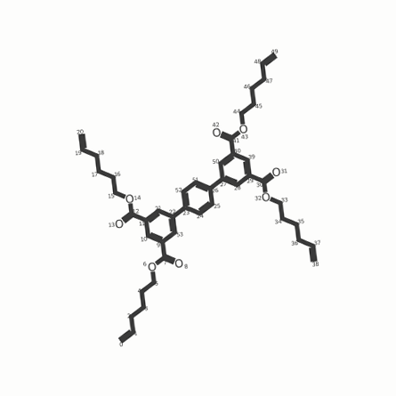 C=CCCCCOC(=O)c1cc(C(=O)OCCCCC=C)cc(-c2ccc(-c3cc(C(=O)OCCCCC=C)cc(C(=O)OCCCCC=C)c3)cc2)c1